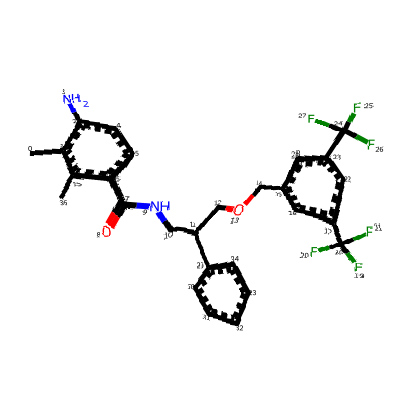 Cc1c(N)ccc(C(=O)NCC(COCc2cc(C(F)(F)F)cc(C(F)(F)F)c2)c2ccccc2)c1C